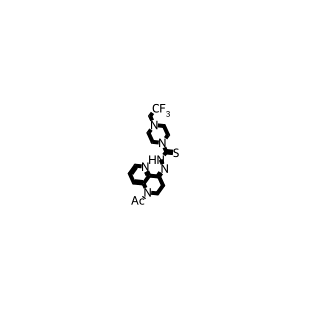 CC(=O)N1CC/C(=N/NC(=S)N2CCN(CC(F)(F)F)CC2)c2ncccc21